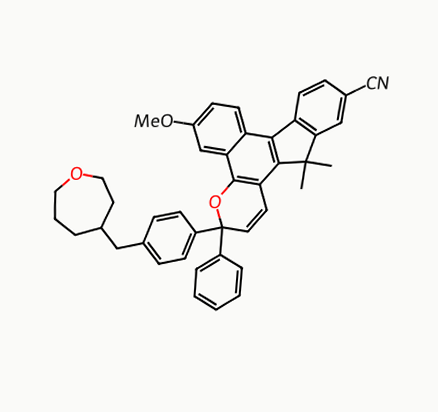 COc1ccc2c3c(c4c(c2c1)OC(c1ccccc1)(c1ccc(CC2CCCOCC2)cc1)C=C4)C(C)(C)c1cc(C#N)ccc1-3